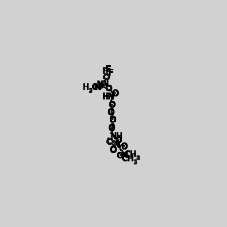 CN(C)C(=O)CCC(C=O)N1C(=O)c2cccc(NCCOCCOCCOCCOCCNC(=O)c3ccc4c(c3)c3cn(C)nc3n4-c3ccc(C(F)(F)F)cc3)c2C1=O